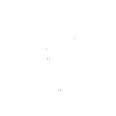 CN1C(=O)CCC1C[C@H](c1ccc(C(C)(F)F)cc1)c1ccc(C2CC2)c(=O)n1C